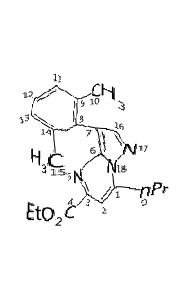 CCCc1cc(C(=O)OCC)nc2c(-c3c(C)cccc3C)cnn12